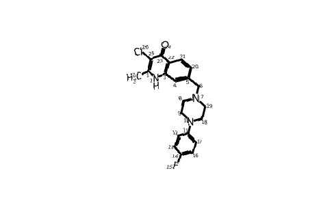 Cc1[nH]c2cc(CN3CCN(c4ccc(F)cc4)CC3)ccc2c(=O)c1Cl